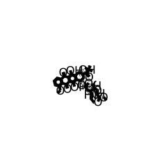 COc1cccc2c1C(=O)c1c(O)c3c(c(O)c1C2=O)C[C@@](O)(C(=O)C(C)(C)C)C[C@@H]3O[C@H]1C[C@H]2[C@H](O[C@@H]3[C@@H](OC)OCCN32)[C@H](C)O1